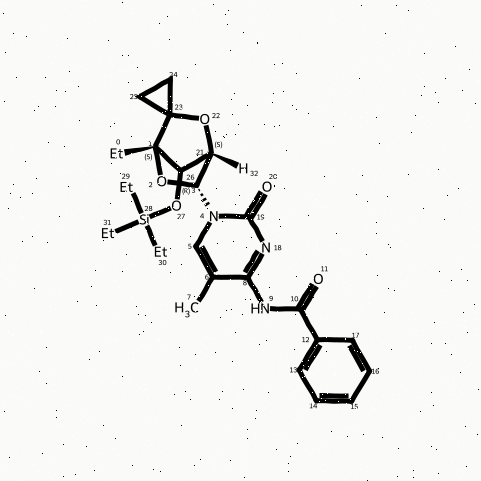 CC[C@@]12O[C@@H](n3cc(C)c(NC(=O)c4ccccc4)nc3=O)[C@@H](OC13CC3)C2O[Si](CC)(CC)CC